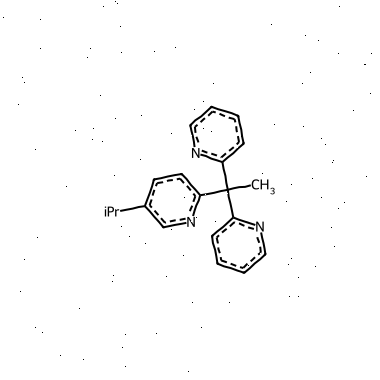 CC(C)c1ccc(C(C)(c2ccccn2)c2ccccn2)nc1